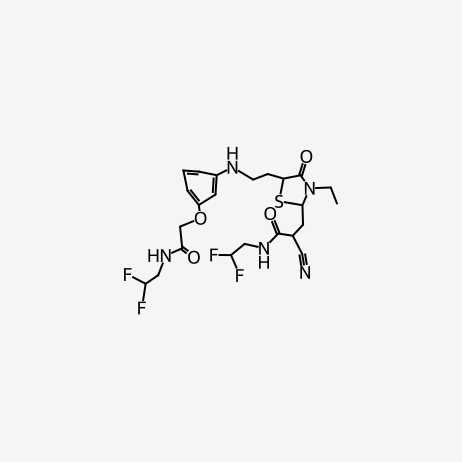 CCN1C(=O)C(CCNc2cccc(OCC(=O)NCC(F)F)c2)SC1CC(C#N)C(=O)NCC(F)F